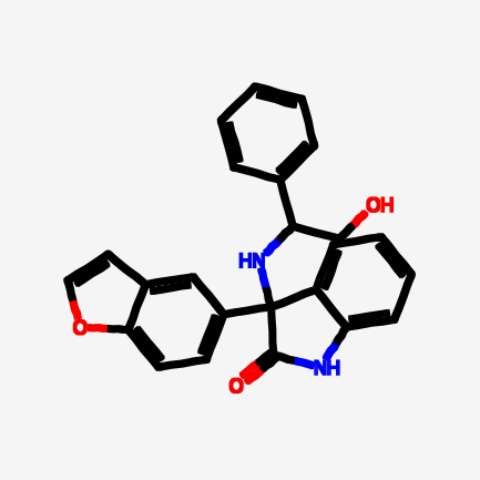 O=C1Nc2ccccc2C1(NC(CO)c1ccccc1)c1ccc2occc2c1